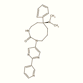 CN(C)[C@@]1(c2ccccc2)CCCN(c2cnc(-c3cccnc3)nc2)C(=O)NCC1